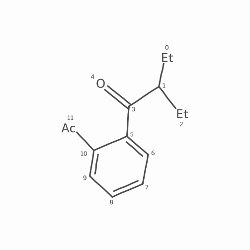 CCC(CC)C(=O)c1ccccc1C(C)=O